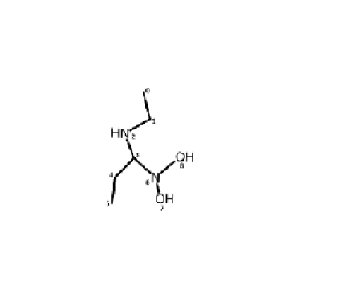 CCNC(CC)N(O)O